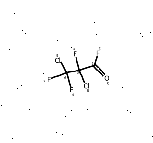 O=C(F)C(F)(Cl)C(F)(F)Cl